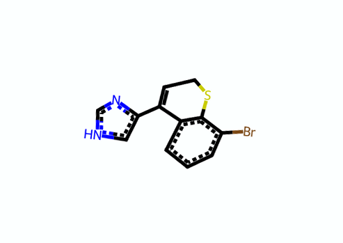 Brc1cccc2c1SCC=C2c1c[nH]cn1